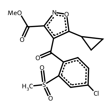 COC(=O)c1noc(C2CC2)c1C(=O)c1ccc(Cl)cc1S(C)(=O)=O